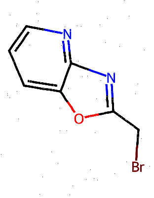 BrCc1nc2ncccc2o1